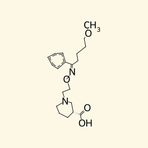 COCCCCC(=NOCCN1CCC[C@@H](C(=O)O)C1)c1ccccc1